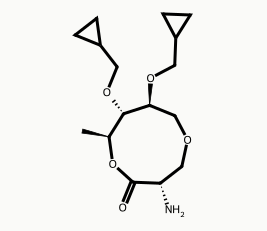 C[C@@H]1OC(=O)[C@@H](N)COC[C@H](OCC2CC2)[C@H]1OCC1CC1